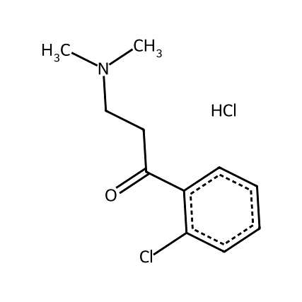 CN(C)CCC(=O)c1ccccc1Cl.Cl